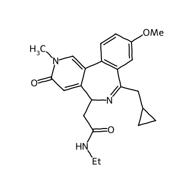 CCNC(=O)CC1N=C(CC2CC2)c2cc(OC)ccc2-c2cn(C)c(=O)cc21